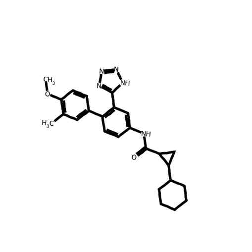 COc1ccc(-c2ccc(NC(=O)C3CC3C3CCCCC3)cc2-c2nnn[nH]2)cc1C